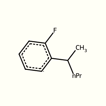 CCCC(C)c1[c]cccc1F